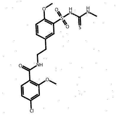 CNC(=S)NS(=O)(=O)c1cc(CCNC(=O)c2ccc(Cl)cc2OC)ccc1OC